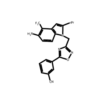 CCCc1cc2c(C(F)(F)F)c(N)ccc2n1Cc1noc(-c2cccc(C#N)c2)n1